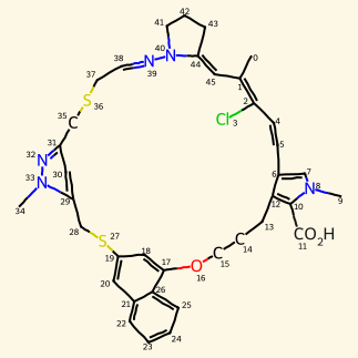 CC1=C(Cl)\C=C/c2cn(C)c(C(=O)O)c2CCCOc2cc(cc3ccccc23)SCc2cc(nn2C)CSC/C=N/N2CCC/C2=C\1